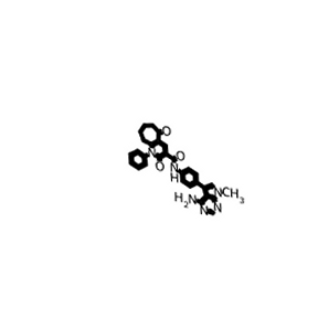 Cn1cc(-c2ccc(NC(=O)c3cc4c(n(-c5ccccc5)c3=O)CCCCC4=O)cc2)c2c(N)ncnc21